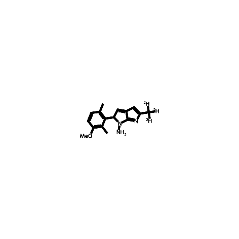 [2H]C([2H])([2H])C1=CC2=CC(c3c(C)ccc(OC)c3C)N(N)C2=N1